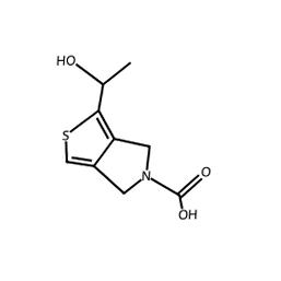 CC(O)c1scc2c1CN(C(=O)O)C2